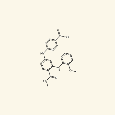 CNC(=O)c1cnc(Nc2ccc(C(=O)O)cn2)cc1Nc1ccccc1OC